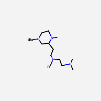 CC(C)N(CCC1CN(C(C)(C)C)CCN1C)CCN(C)C